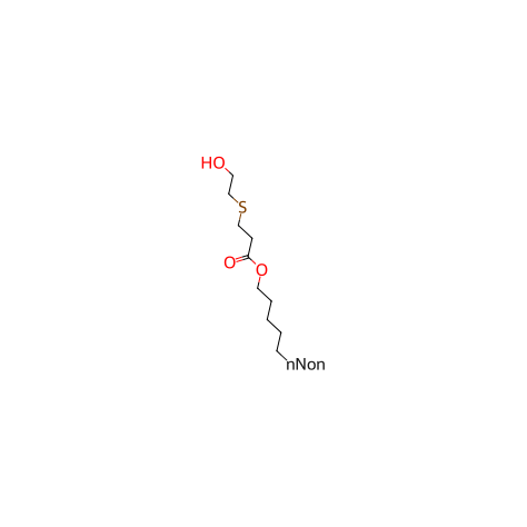 CCCCCCCCCCCCCCOC(=O)CCSCCO